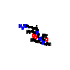 CC(=O)CN(C[C@H](CC(C)C)NC(=O)CN(C[C@@H](C)CCCCN)C(=O)CC(C)C)C(=O)CC(C)C